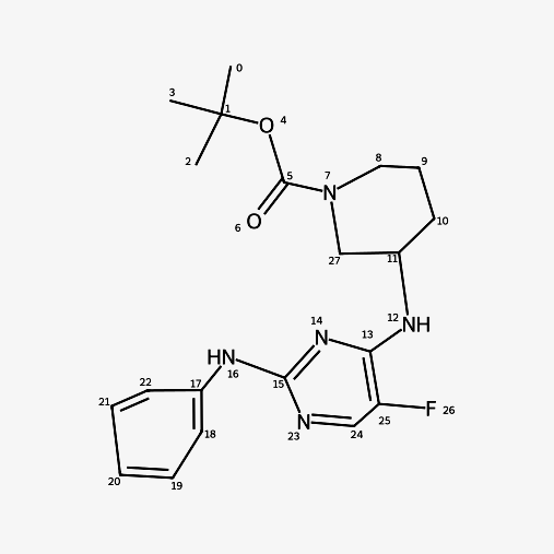 CC(C)(C)OC(=O)N1CCCC(Nc2nc(Nc3ccccc3)ncc2F)C1